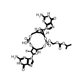 CC(C)OC(=O)OCOP1(=O)OC[C@H]2O[C@@H](n3cnc4c(=O)[nH]c(N)nc43)[C@@H](F)C2OP(=O)(O)OC[C@H]2O[C@@H](n3cnc4c(=O)[nH]c(N)nc43)[C@@H](O1)C2O